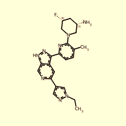 CCn1cc(-c2cc3c(-c4ccc(C)c(N5C[C@@H](N)C[C@@H](F)C5)n4)n[nH]c3cn2)cn1